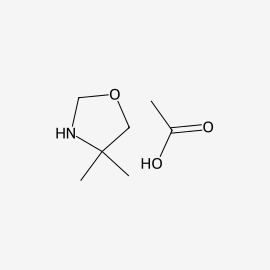 CC(=O)O.CC1(C)COCN1